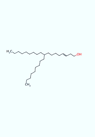 CCCCCCCCCC(CCCC/C=C/CCO)CCCCCCCCC